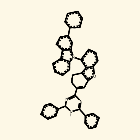 C1=C(C2=NC(c3ccccc3)NC(c3ccccc3)=N2)CCc2c1oc1cccc(-n3c4ccccc4c4ccc(-c5ccccc5)cc43)c21